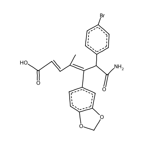 CC(C=CC(=O)O)=C(c1ccc2c(c1)OCO2)C(C(N)=O)c1ccc(Br)cc1